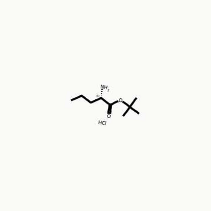 CCC[C@H](N)C(=O)OC(C)(C)C.Cl